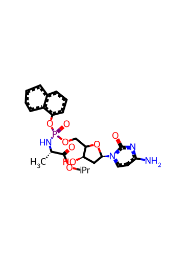 CC(C)OC(=O)[C@H](C)NP(=O)(OCC1O[C@@H](n2ccc(N)nc2=O)C[C@H]1O)Oc1cccc2ccccc12